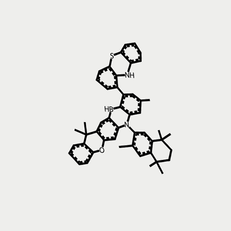 Cc1cc(-c2cccc3c2Nc2ccccc2S3)c2c(c1)N(c1cc3c(cc1C)C(C)(C)CCC3(C)C)c1cc3c(cc1B2)C(C)(C)c1ccccc1O3